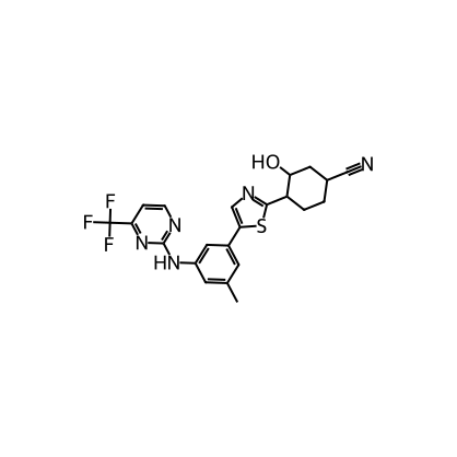 Cc1cc(Nc2nccc(C(F)(F)F)n2)cc(-c2cnc(C3CCC(C#N)CC3O)s2)c1